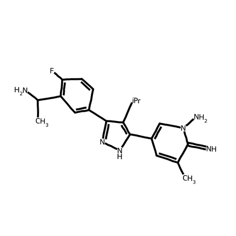 Cc1cc(-c2[nH]nc(-c3ccc(F)c(C(C)N)c3)c2C(C)C)cn(N)c1=N